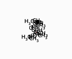 CC(C)c1cc(CNC(=O)c2ccc(-c3c4ccc(=[N+](C)C)cc-4oc4cc(N(C)C)ccc34)c(C(=O)O)c2)cc(C(C)C)c1N=[N+]=[N-]